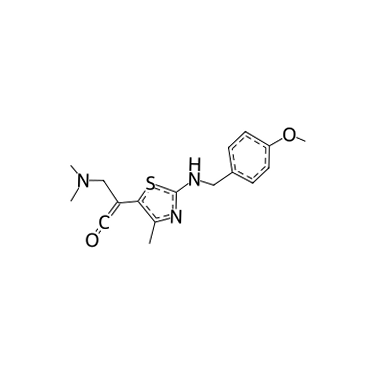 COc1ccc(CNc2nc(C)c(C(=C=O)CN(C)C)s2)cc1